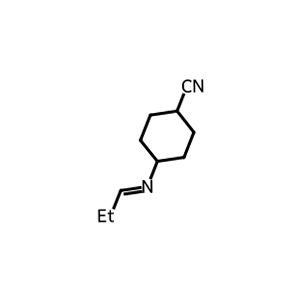 CC/C=N/C1CCC(C#N)CC1